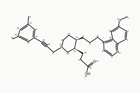 COc1ccc2nccc(CCC[C@@H]3CCN(CC#Cc4cc(C)cc(C)c4)C[C@@H]3CCC(=O)O)c2c1